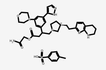 Cc1ccc(S(=O)(=O)O)cc1.NC(=O)COC(=O)CC(CN1CC[C@@H](CCc2ccc3c(n2)NCCC3)C1)c1cc(-c2ccn[nH]2)cc(N2CCOCC2)c1